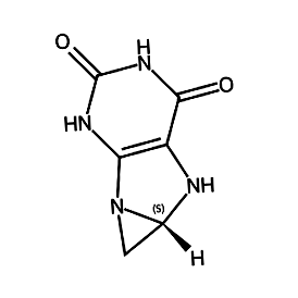 O=c1[nH]c2c(c(=O)[nH]1)N[C@@H]1CN21